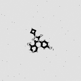 O=c1n(C2CCC2)nc(-c2ccncc2Cl)n1-c1ccc(C(F)(F)F)cc1